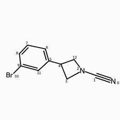 N#CN1CC(c2cccc(Br)c2)C1